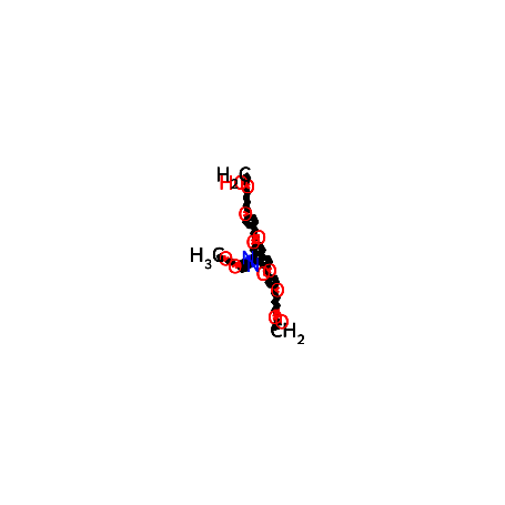 C=CC(=O)OCCCCCCOc1ccc(C(=O)Oc2ccc3c4ccc(OC(=O)CCc5ccc(OCCCCCCOC(O)C=C)cc5)cc4c4nc5cc(OCCOCC)ccc5nc4c3c2)cc1